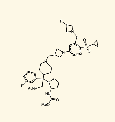 COC(=O)N[C@H]1CCC[C@@H]1[C@](CNC(C)=O)(c1cccc(F)c1)C1CCN(CC2CN(c3ccc(S(=O)(=O)C4CC4)c(CN4CC(F)C4)c3)C2)CC1